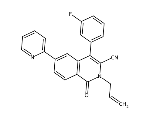 C=CCn1c(C#N)c(-c2cccc(F)c2)c2cc(-c3ccccn3)ccc2c1=O